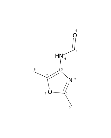 Cc1nc(NC=O)c(C)o1